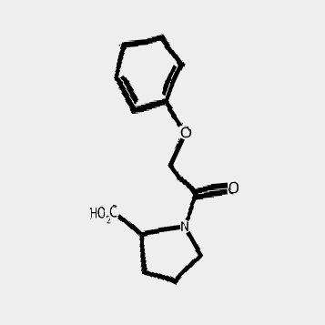 O=C(O)C1CCCN1C(=O)COC1=CC[CH]C=C1